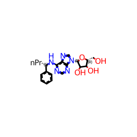 CCC[C@H](Nc1ncnc2c1ncn2[C@@H]1O[C@H](CO)C(O)C1O)c1ccccc1